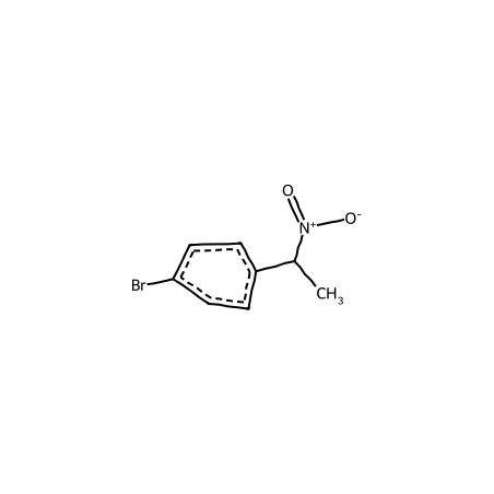 CC(c1ccc(Br)cc1)[N+](=O)[O-]